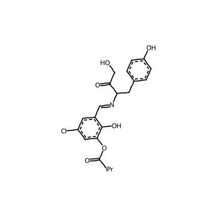 CC(C)C(=O)Oc1cc(Cl)cc(C=NC(Cc2ccc(O)cc2)C(=O)CO)c1O